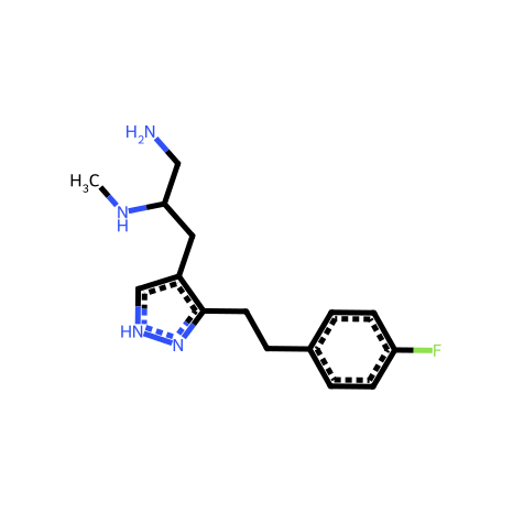 CNC(CN)Cc1c[nH]nc1CCc1ccc(F)cc1